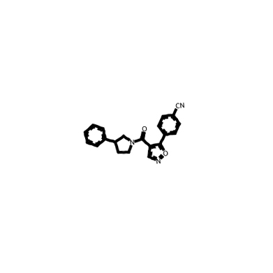 N#Cc1ccc(-c2oncc2C(=O)N2CCC(c3ccccc3)C2)cc1